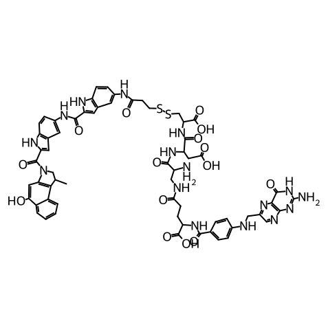 CC1CN(C(=O)c2cc3cc(NC(=O)c4cc5cc(NC(=O)CCSSCC(NC(=O)C(CC(=O)O)NC(=O)C(N)CNC(=O)CCC(NC(=O)c6ccc(NCc7cnc8nc(N)[nH]c(=O)c8n7)cc6)C(=O)O)C(=O)O)ccc5[nH]4)ccc3[nH]2)c2cc(O)c3ccccc3c21